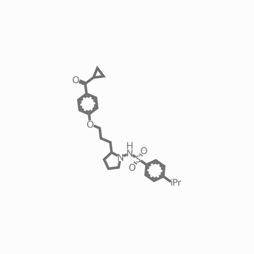 CC(C)c1ccc(S(=O)(=O)NN2CCCC2CCCOc2ccc(C(=O)C3CC3)cc2)cc1